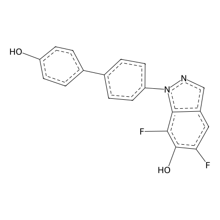 Oc1ccc(-c2ccc(-n3ncc4cc(F)c(O)c(F)c43)cc2)cc1